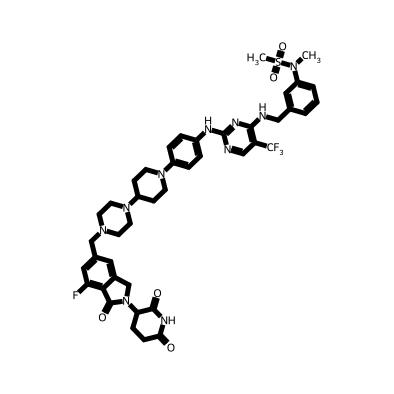 CN(c1cccc(CNc2nc(Nc3ccc(N4CCC(N5CCN(Cc6cc(F)c7c(c6)CN(C6CCC(=O)NC6=O)C7=O)CC5)CC4)cc3)ncc2C(F)(F)F)c1)S(C)(=O)=O